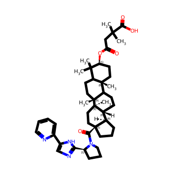 CC(C)(CC(=O)O[C@H]1CC[C@@]2(C)C(CC[C@]3(C)C2CC[C@@H]2[C@H]4CCC[C@]4(C(=O)N4CCC[C@H]4c4ncc(-c5ccccn5)[nH]4)CC[C@]23C)C1(C)C)C(=O)O